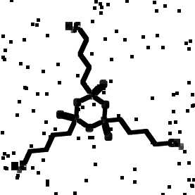 CCCCCP1(=O)OP(=O)(CCCCC)OP(=O)(CCCCC)O1